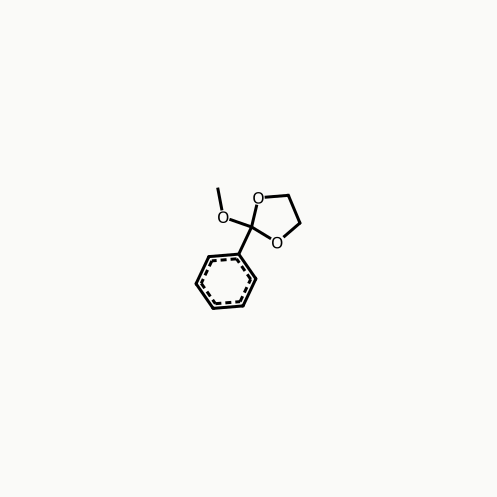 COC1(c2ccccc2)OCCO1